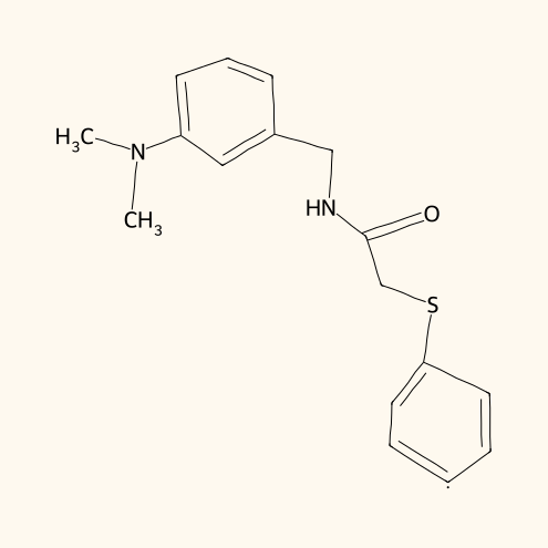 CN(C)c1cccc(CNC(=O)CSc2cc[c]cc2)c1